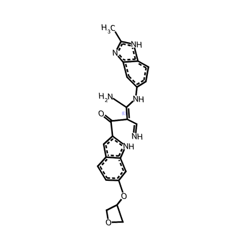 Cc1nc2cc(N/C(N)=C(\C=N)C(=O)c3cc4ccc(OC5COC5)cc4[nH]3)ccc2[nH]1